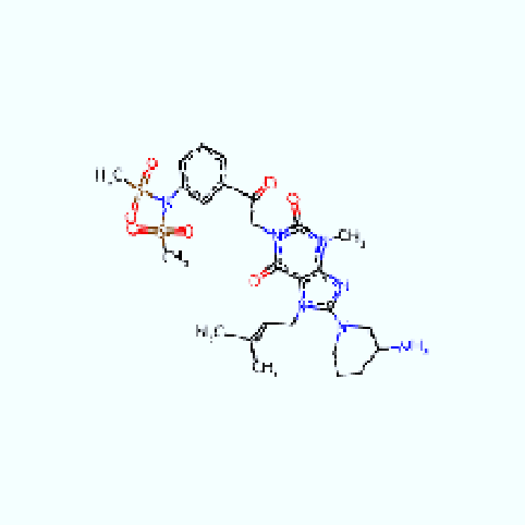 CC(C)=CCn1c(N2CCCC(N)C2)nc2c1c(=O)n(CC(=O)c1cccc(N(S(C)(=O)=O)S(C)(=O)=O)c1)c(=O)n2C